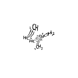 C#C.C#C.C=C=C